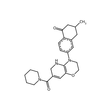 CC1CC(=O)c2ccc(N3CCOC4=C3NCC(C(=O)N3CCCCC3)=C4)cc2C1